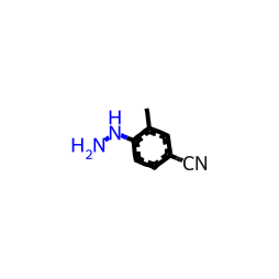 Cc1cc(C#N)ccc1NN